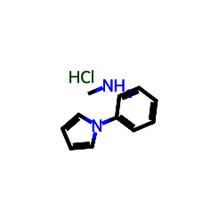 CN.Cl.c1ccc(-n2cccc2)cc1